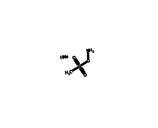 CS(=O)(=O)ON.[NaH]